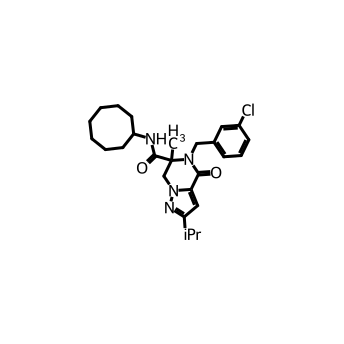 CC(C)c1cc2n(n1)CC(C)(C(=O)NC1CCCCCCC1)N(Cc1cccc(Cl)c1)C2=O